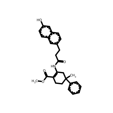 COC(=O)C1=C(NC(=O)CCc2ccc3cc(O)ccc3c2)CC(C)(c2ccccc2)CC1